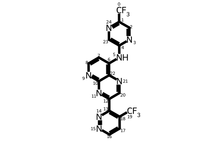 FC(F)(F)c1cnc(Nc2ccnc3nc(-c4nnccc4C(F)(F)F)cnc23)cn1